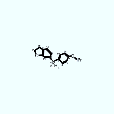 CC(C)Oc1ccc(N(C)c2ccc3c(c2)OCC3)cc1